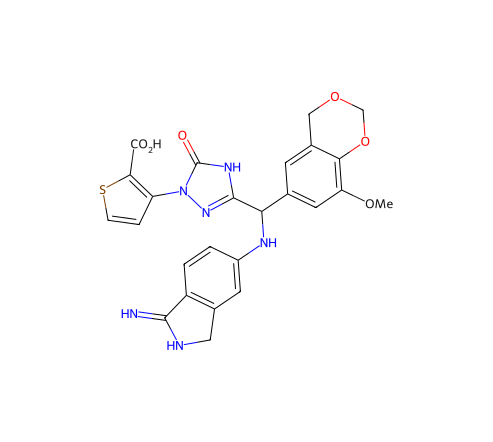 COc1cc(C(Nc2ccc3c(c2)CNC3=N)c2nn(-c3ccsc3C(=O)O)c(=O)[nH]2)cc2c1OCOC2